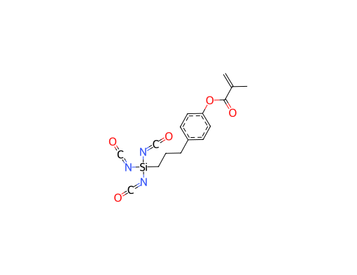 C=C(C)C(=O)Oc1ccc(CCC[Si](N=C=O)(N=C=O)N=C=O)cc1